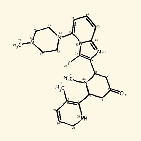 CC1=C(C2CC(=O)CC(c3nc4cccc(N5CCN(C)CC5)n4c3F)N2C)NCC=C1